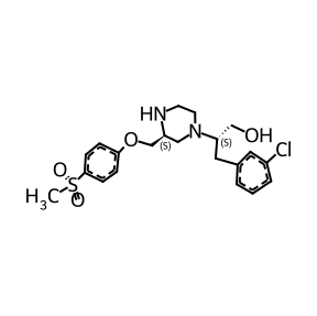 CS(=O)(=O)c1ccc(OC[C@@H]2CN([C@H](CO)Cc3cccc(Cl)c3)CCN2)cc1